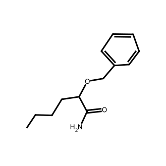 CCCCC(OCc1ccccc1)C(N)=O